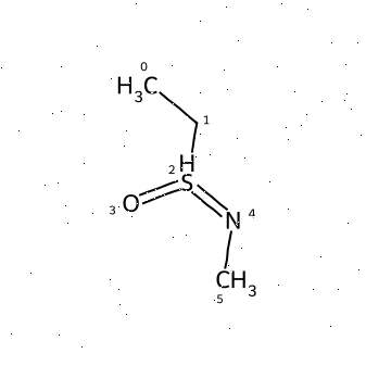 CC[SH](=O)=NC